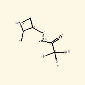 CC1NCC1CNC(=O)C(F)(F)F